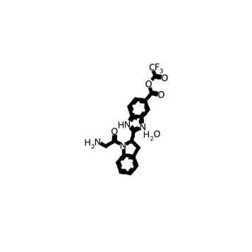 NCC(=O)N1c2ccccc2CC1c1nc2cc(C(=O)OC(=O)C(F)(F)F)ccc2[nH]1.O